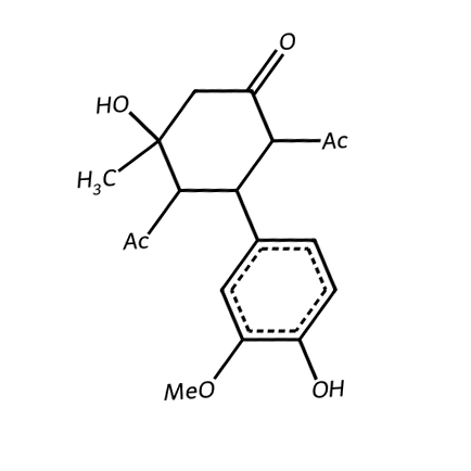 COc1cc(C2C(C(C)=O)C(=O)CC(C)(O)C2C(C)=O)ccc1O